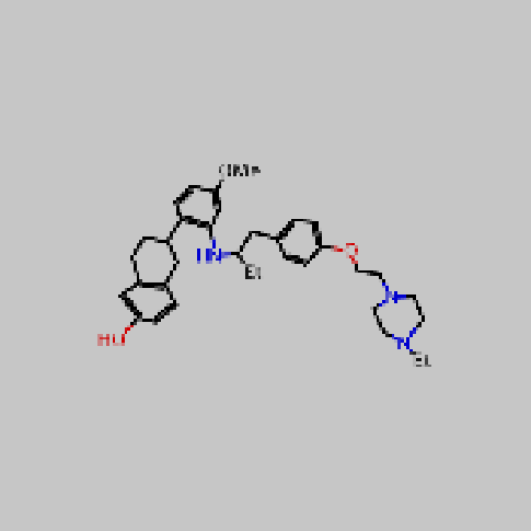 CCC(Cc1ccc(OCCN2CCN(CC)CC2)cc1)Nc1cc(OC)ccc1C1CCc2cc(O)ccc2C1